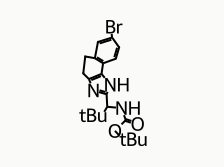 CC(C)(C)OC(=O)NC(c1nc2c([nH]1)-c1ccc(Br)cc1CC2)C(C)(C)C